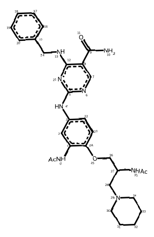 CC(=O)Nc1cc(Nc2ncc(C(N)=O)c(NCc3ccccc3)n2)ccc1OCC(CN1CCCCC1)NC(C)=O